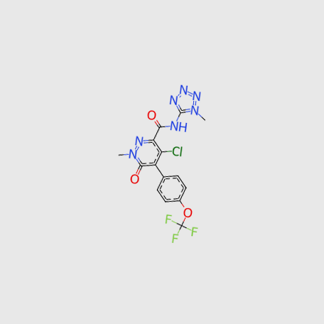 Cn1nnnc1NC(=O)c1nn(C)c(=O)c(-c2ccc(OC(F)(F)F)cc2)c1Cl